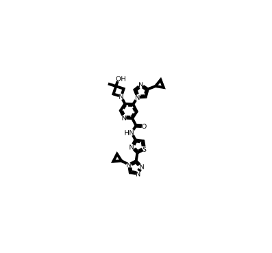 CC1(O)CN(c2cnc(C(=O)Nc3csc(-c4nncn4C4CC4)n3)cc2-n2cnc(C3CC3)c2)C1